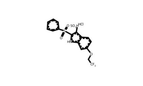 Cl.O=S(=O)(O)c1c(S(=O)(=O)c2ccccc2)[nH]c2cc(OCC(F)(F)F)ccc12